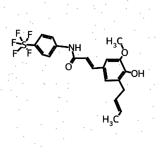 CC=CCc1cc(C=CC(=O)Nc2ccc(S(F)(F)(F)(F)F)cc2)cc(OC)c1O